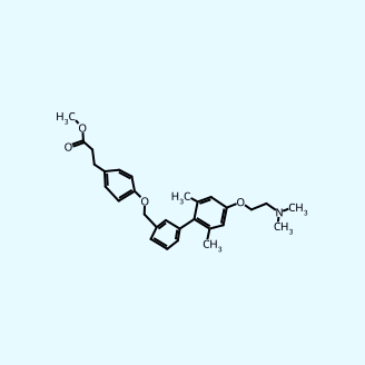 COC(=O)CCc1ccc(OCc2cccc(-c3c(C)cc(OCCN(C)C)cc3C)c2)cc1